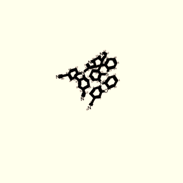 N#Cc1ccc2c(c1)Oc1ccccc1N2c1cccc2c1Sc1ccccc1C21c2cccnc2-c2ncc(-n3c4ccc(C#N)cc4c4cc(C#N)ccc43)cc21